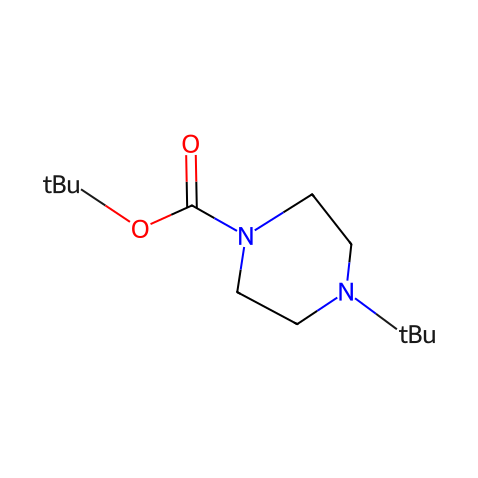 CC(C)(C)OC(=O)N1CCN(C(C)(C)C)CC1